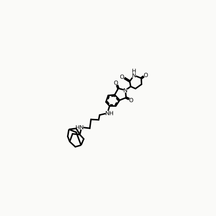 O=C1CCC(N2C(=O)c3ccc(NCCCCNC45CC6CC(CC(C6)C4)C5)cc3C2=O)C(=O)N1